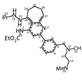 CCOC(=O)Nc1cc(-c2cccc(CN(C)CCNC)c2)nc2c1=C(NNC(C)C)CCCC=2